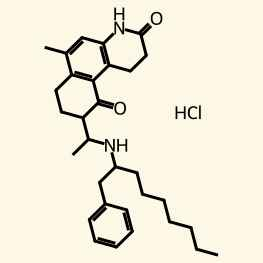 CCCCCCCC(Cc1ccccc1)NC(C)C1CCc2c(C)cc3c(c2C1=O)CCC(=O)N3.Cl